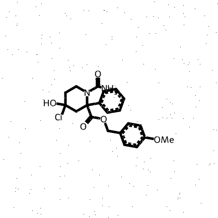 COc1ccc(COC(=O)C2(c3ccccc3)CC(O)(Cl)CCN2C(N)=O)cc1